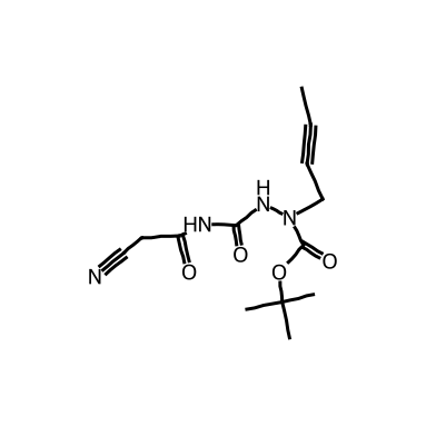 CC#CCN(NC(=O)NC(=O)CC#N)C(=O)OC(C)(C)C